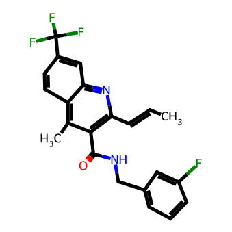 CC=Cc1nc2cc(C(F)(F)F)ccc2c(C)c1C(=O)NCc1cccc(F)c1